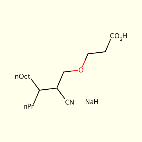 CCCCCCCCC(CCC)C(C#N)COCCC(=O)O.[NaH]